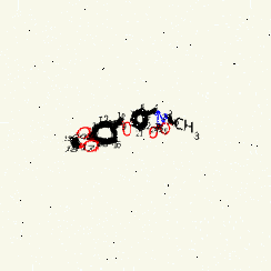 C[C@@H]1CN(Cc2ccc(OCC3CCC4(CC3)OCCO4)cc2)C(=O)O1